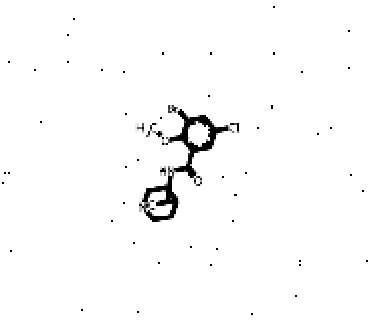 COc1c(Br)cc(Cl)cc1C(=O)NC1CN2CCC1CC2